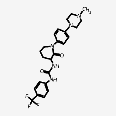 CN1CCN(c2ccc(N3CCCC(NC(=O)Nc4ccc(C(F)(F)F)cc4)C3=O)cc2)CC1